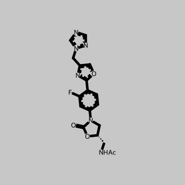 CC(=O)NC[C@H]1CN(c2ccc(-c3nc(Cn4cncn4)co3)c(F)c2)C(=O)O1